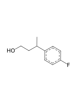 CC(CCO)c1ccc(F)cc1